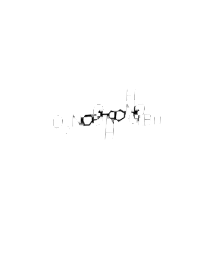 CC(C)(C)OC(=O)Nc1ccc2[nH]c(C(=O)Oc3ccc([N+](=O)[O-])cc3)cc2c1